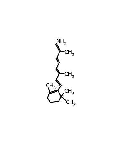 CC1=C(/C=C/C(C)=C/C=C/C(C)=C/N)C(C)(C)CCC1